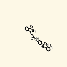 Nc1ccccc1NC(=O)c1ccc(CNC(=O)C=CC2NC(=O)c3ccccc32)cc1